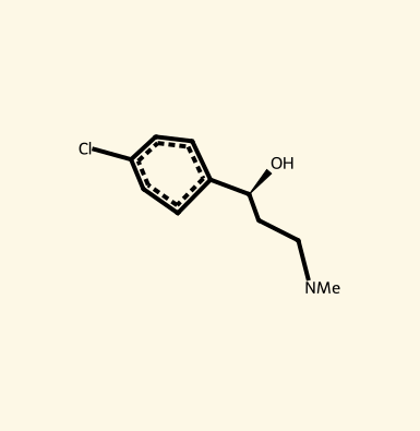 CNCC[C@H](O)c1ccc(Cl)cc1